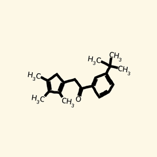 CC1=C(C)C(C)=C(CC(=O)c2cccc(C(C)(C)C)c2)C1